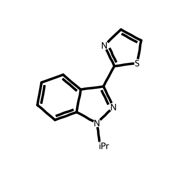 CC(C)n1nc(-c2nccs2)c2ccccc21